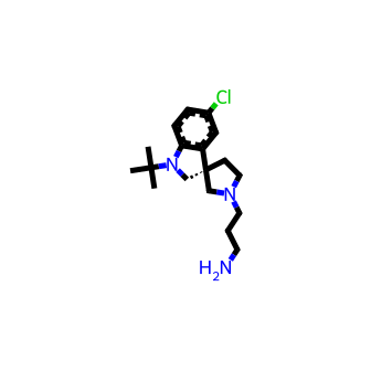 CC(C)(C)N1C[C@@]2(CCN(CCCN)C2)c2cc(Cl)ccc21